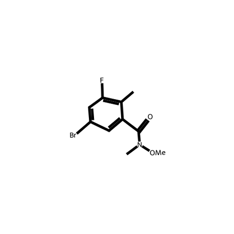 CON(C)C(=O)c1cc(Br)cc(F)c1C